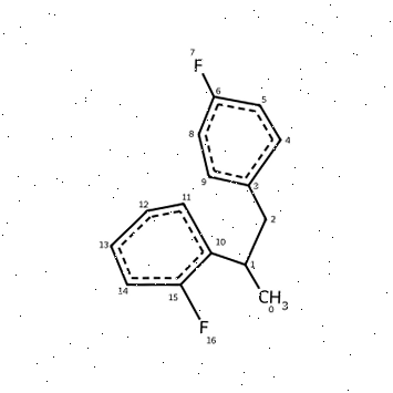 CC(Cc1ccc(F)cc1)c1ccccc1F